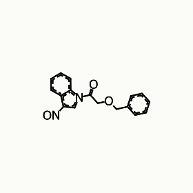 O=Nc1cn(C(=O)COCc2ccccc2)c2ccccc12